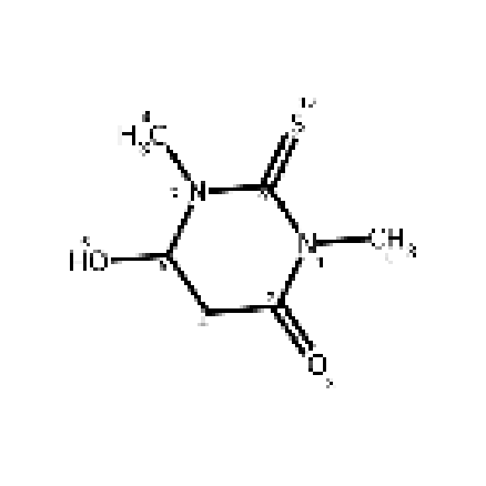 CN1C(=O)CC(O)N(C)C1=S